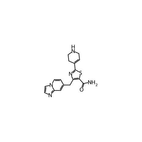 NC(=O)c1sc(C2=CCNCC2)nc1Cc1ccn2ccnc2c1